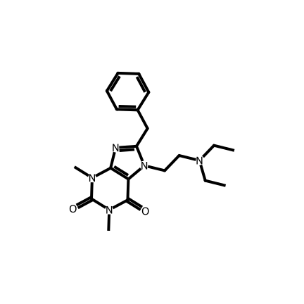 CCN(CC)CCn1c(Cc2ccccc2)nc2c1c(=O)n(C)c(=O)n2C